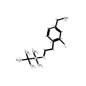 CC(C)(C)[Si](C)(C)OCCc1ccc(CO)cc1F